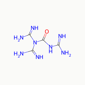 N=C(N)NC(=O)N(C(=N)N)C(=N)N